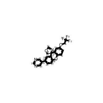 FC(F)(F)COc1ccc2c(c1)[C@]1(COC=N1)c1cc(-c3cncnc3)ccc1O2